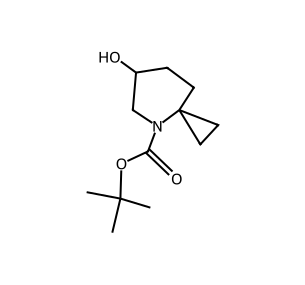 CC(C)(C)OC(=O)N1CC(O)CCC12CC2